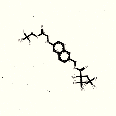 CCC(C)(C)CC(C)(C(=O)OCc1ccc2cc(OCC(=O)OCC(F)(F)C(F)(F)F)ccc2c1)C(C)(C)CC